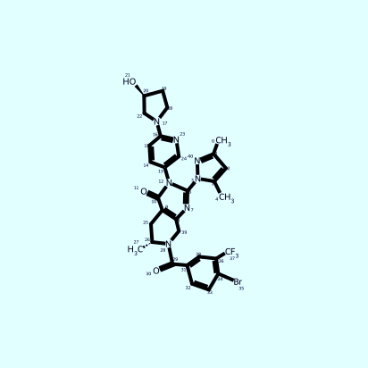 Cc1cc(C)n(-c2nc3c(c(=O)n2-c2ccc(N4CC[C@H](O)C4)nc2)C[C@@H](C)N(C(=O)c2ccc(Br)c(C(F)(F)F)c2)C3)n1